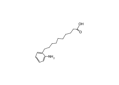 Nc1ccccc1CCCCCCCCCC(=O)O